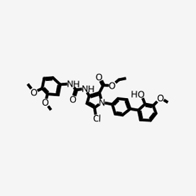 CCOC(=O)c1c(NC(=O)Nc2ccc(OC)c(OC)c2)cc(Cl)n1-c1ccc(-c2cccc(OC)c2O)cc1